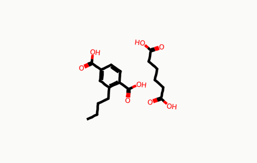 CCCCc1cc(C(=O)O)ccc1C(=O)O.O=C(O)CCCCC(=O)O